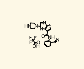 N#Cc1ccccc1NC(=O)c1csc2ncc(N3CCNCC3)nc12.O=C(O)C(F)(F)F